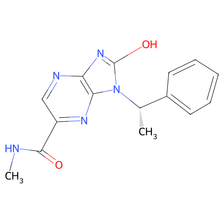 CNC(=O)c1cnc2nc(O)n([C@@H](C)c3ccccc3)c2n1